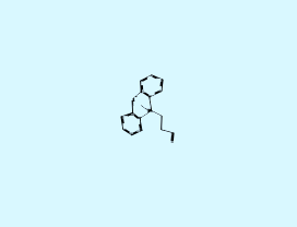 O=CCCC12CCC(c3ccccc31)c1ccccc12